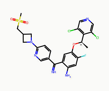 C[C@@H](Oc1cc(C(=N)c2ccc(N3CC(CS(C)(=O)=O)C3)nc2)c(N)cc1F)c1c(Cl)cncc1Cl